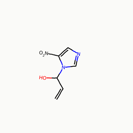 C=CC(O)n1cncc1[N+](=O)[O-]